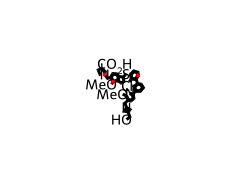 COc1nc(-c2cccc(-c3cccc(SC4CCc5c4ccc(CN4CC[C@@H](C(=O)O)C4)c5OC)c3C)c2Cl)ccc1CN1CC(CO)C1